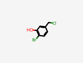 Oc1cc(CCl)ccc1Br